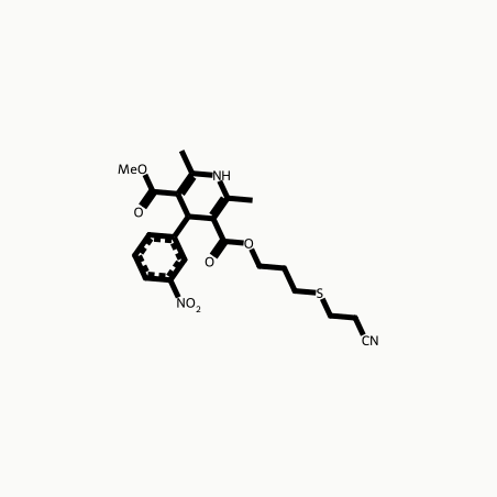 COC(=O)C1=C(C)NC(C)=C(C(=O)OCCCSCCC#N)C1c1cccc([N+](=O)[O-])c1